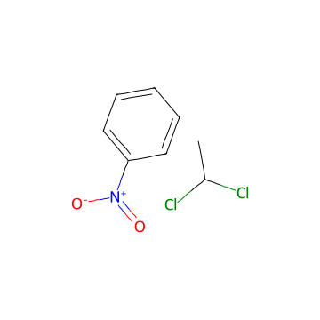 CC(Cl)Cl.O=[N+]([O-])c1ccccc1